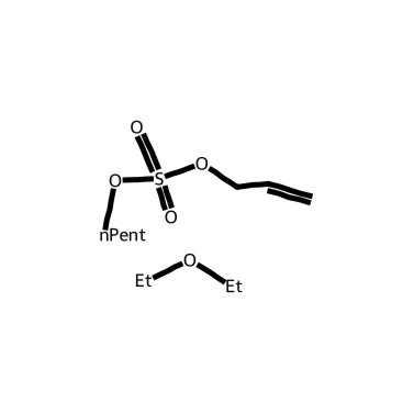 C=CCOS(=O)(=O)OCCCCC.CCOCC